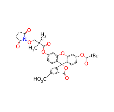 CC(C)(C)C(=O)Oc1ccc2c(c1)Oc1cc(OC(=O)C(C)(C)CON3C(=O)CCC3=O)ccc1C21OC(=O)c2cc(C(=O)O)ccc21